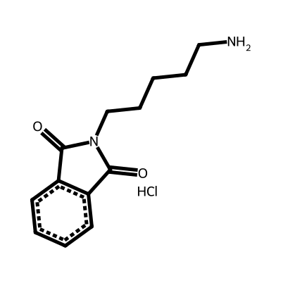 Cl.NCCCCCN1C(=O)c2ccccc2C1=O